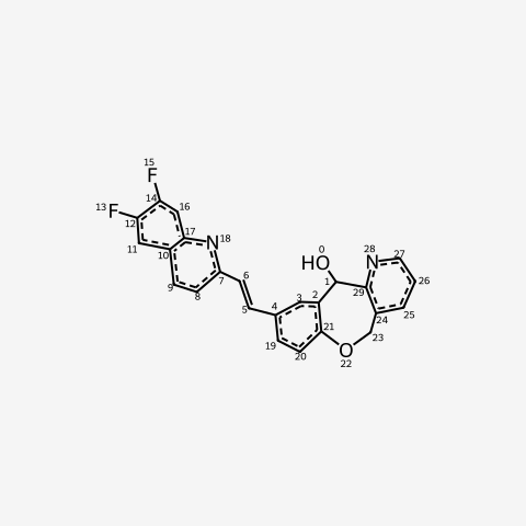 OC1c2cc(C=Cc3ccc4cc(F)c(F)cc4n3)ccc2OCc2cccnc21